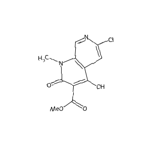 COC(=O)c1c(O)c2cc(Cl)ncc2n(C)c1=O